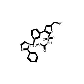 CCCCOC(=O)NS(=O)(=O)c1sc(CC(C)C)cc1-c1cccc(Cn2ccnc2-c2ccccc2)c1